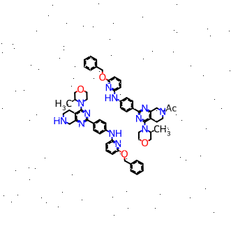 CC(=O)N1CCc2c(nc(-c3ccc(Nc4cccc(OCc5ccccc5)n4)cc3)nc2N2CCOC[C@@H]2C)C1.C[C@H]1COCCN1c1nc(-c2ccc(Nc3cccc(OCc4ccccc4)n3)cc2)nc2c1CCNC2